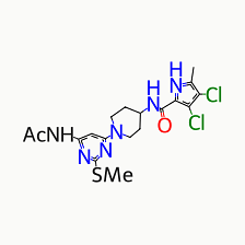 CSc1nc(NC(C)=O)cc(N2CCC(NC(=O)c3[nH]c(C)c(Cl)c3Cl)CC2)n1